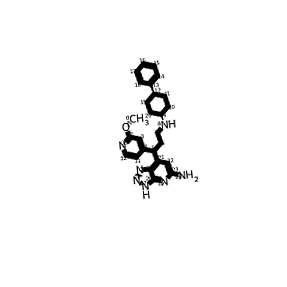 COc1cc(C(CCN[C@H]2CC[C@H](c3ccccc3)CC2)c2cc(N)nc3[nH]nnc23)ccn1